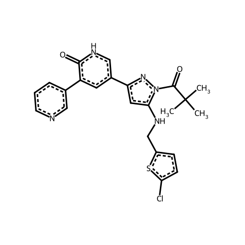 CC(C)(C)C(=O)n1nc(-c2c[nH]c(=O)c(-c3cccnc3)c2)cc1NCc1ccc(Cl)s1